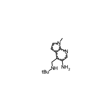 Cn1ccc2c(CNC(C)(C)C)c(N)cnc21